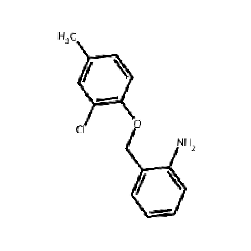 Cc1ccc(OCc2ccccc2N)c(Cl)c1